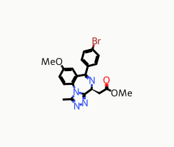 COC(=O)C[C@@H]1N=C(c2ccc(Br)cc2)c2cc(OC)ccc2-n2c(C)nnc21